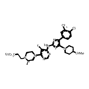 CCOC(=O)CCN1CCN(c2ncnc(Nc3nc(-c4ccc(Cl)c(C(F)(F)F)c4)c(N4CCC(OC)CC4)s3)c2F)C[C@H]1C